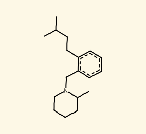 CC(C)CCc1[c]cccc1CN1CCCCC1C